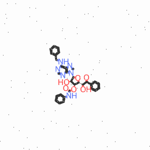 O=C(Nc1ccccc1)O[C@H]1[C@@H](O)[C@H](n2cnc3c(NCc4ccccc4)ncnc32)O[C@@H]1C(O)C(=O)c1ccccc1